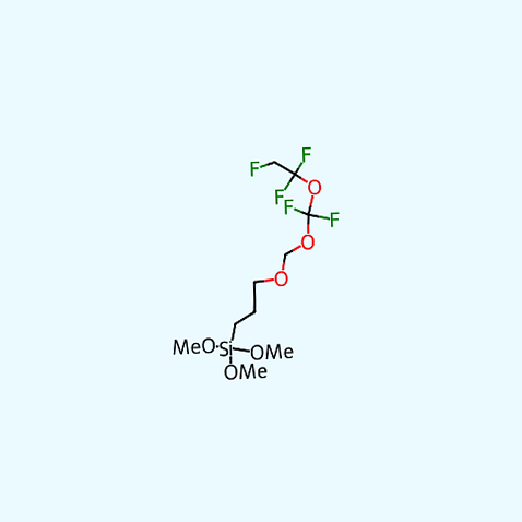 CO[Si](CCCOCOC(F)(F)OC(F)(F)CF)(OC)OC